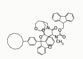 CN(C(=O)OCC1c2ccccc2-c2ccccc21)[C@@H](CC(=O)OC(c1ccccc1)(c1ccc(C2CCCCCCCCCC2)cc1)c1ccccc1Cl)C(=O)N1CC2CCOCC1C2